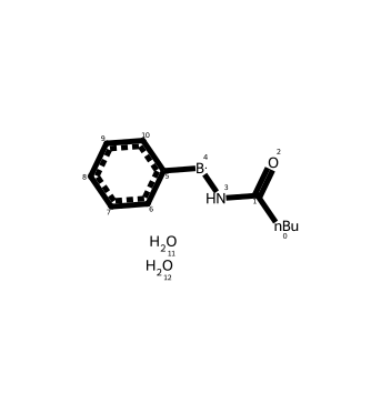 CCCCC(=O)N[B]c1ccccc1.O.O